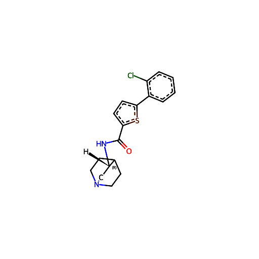 O=C(N[C@H]1CN2CCC1CC2)c1ccc(-c2ccccc2Cl)s1